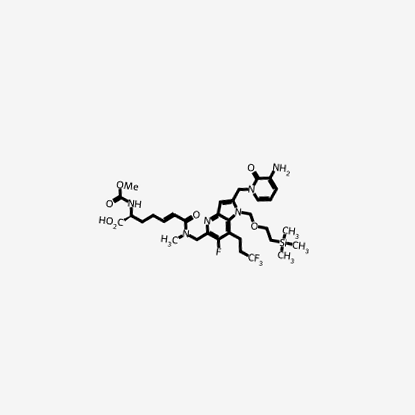 COC(=O)N[C@@H](CC/C=C/C(=O)N(C)Cc1nc2cc(Cn3cccc(N)c3=O)n(COCC[Si](C)(C)C)c2c(CCC(F)(F)F)c1F)C(=O)O